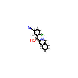 N#Cc1ccc(F)c(C(O)c2cc3ccccc3cn2)c1